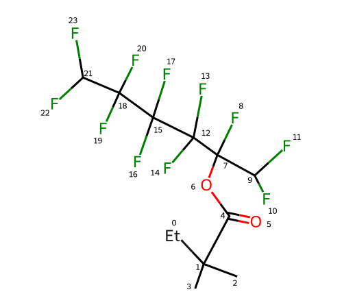 CCC(C)(C)C(=O)OC(F)(C(F)F)C(F)(F)C(F)(F)C(F)(F)C(F)F